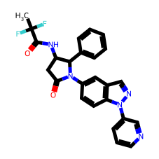 CC(F)(F)C(=O)NC1CC(=O)N(c2ccc3c(cnn3-c3cccnc3)c2)C1c1ccccc1